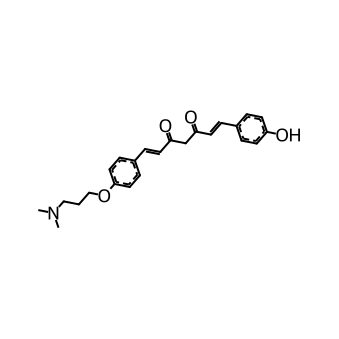 CN(C)CCCOc1ccc(/C=C/C(=O)CC(=O)/C=C/c2ccc(O)cc2)cc1